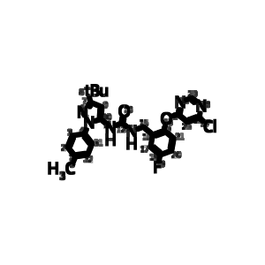 Cc1ccc(-n2nc(C(C)(C)C)cc2NC(=O)NCc2cc(F)ccc2Oc2cc(Cl)ncn2)cc1